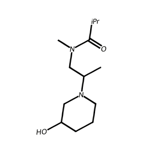 CC(C)C(=O)N(C)CC(C)N1CCCC(O)C1